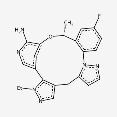 CCn1ncc2c1-c1cnc(N)c(c1)O[C@H](C)c1cc(F)ccc1-n1nccc1C2